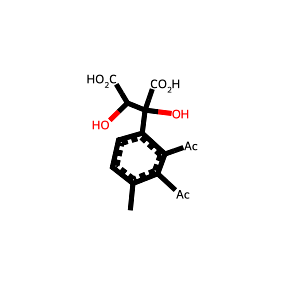 CC(=O)c1c(C)ccc(C(O)(C(=O)O)C(O)C(=O)O)c1C(C)=O